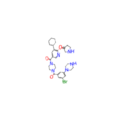 O=C(c1cc(Br)cc(N2CCNCC2)c1)N1CCN(C(=O)c2cnc(O[C@H]3CCNC3)c(C3CCCCC3)c2)CC1